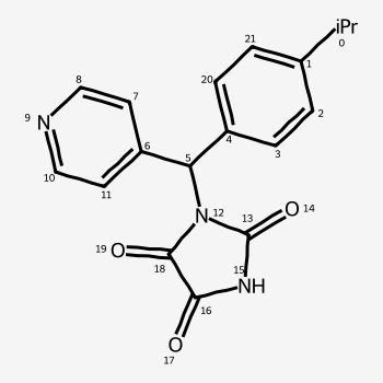 CC(C)c1ccc(C(c2ccncc2)N2C(=O)NC(=O)C2=O)cc1